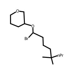 CCCC(C)(C)CCCC(Br)OC1CCCOC1